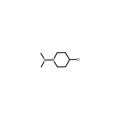 CN(C)N1CCC(Cl)CC1